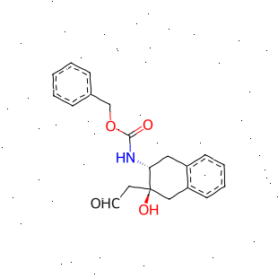 O=CC[C@@]1(O)Cc2ccccc2C[C@H]1NC(=O)OCc1ccccc1